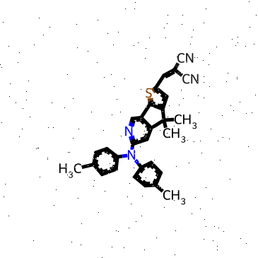 Cc1ccc(N(c2ccc(C)cc2)c2cc3c(cn2)-c2sc(C=C(C#N)C#N)cc2C3(C)C)cc1